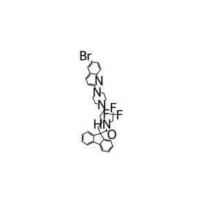 O=C(NCC(F)(F)F)C1(CCCCN2CCN(c3ccc4cc(Br)ccc4n3)CC2)c2ccccc2-c2ccccc21